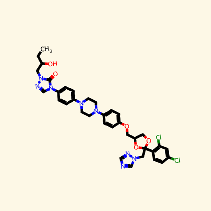 CCC(O)Cn1ncn(-c2ccc(N3CCN(c4ccc(OCC5COC(Cn6cncn6)(c6ccc(Cl)cc6Cl)O5)cc4)CC3)cc2)c1=O